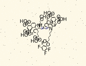 COCC[N+]1=C(/C=C/C=C2/N(CCCCCC(=O)Oc3c(F)c(F)cc(F)c3F)c3ccc4c(S(=O)(=O)O)cc(S(=O)(=O)O)cc4c3C2(C)C)C(C)(CCCS(=O)(=O)O)c2c1ccc1c(S(=O)(=O)O)cc(S(=O)(=O)O)cc21